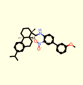 COc1cccc(-c2ccc(NC[C@@]3(C)CCC[C@]4(C)c5ccc(C(C)C)cc5CC[C@@H]34)c([N+](=O)[O-])c2)c1